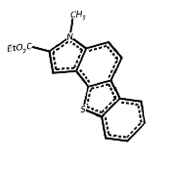 CCOC(=O)c1cc2c3sc4ccccc4c3ccc2n1C